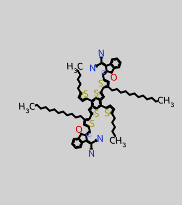 CCCCCCCCCCCCc1cc(/C=C2\C(=O)c3ccccc3C2=C(C#N)C#N)sc1-c1cc2c(-c3ccc(CCCCCC)s3)c3sc(-c4sc(/C=C5\C(=O)c6ccccc6C5=C(C#N)C#N)cc4CCCCCCCCCCCC)cc3c(-c3ccc(CCCCCC)s3)c2s1